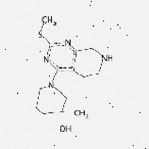 CSc1nc2c(c(N3CCCC(C)(O)C3)n1)CCNC2